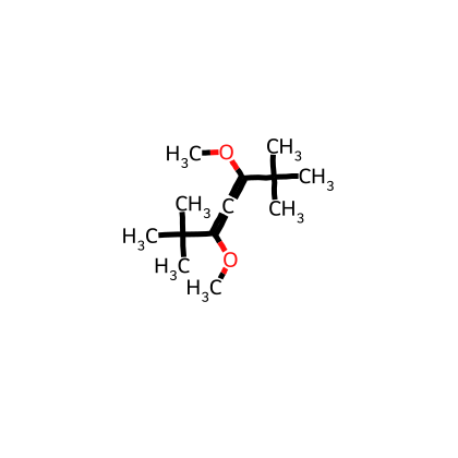 COC(=C=C(OC)C(C)(C)C)C(C)(C)C